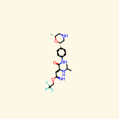 CC(C)N/C(=C\C(=N)OCC(F)(F)F)C(=O)Nc1ccc([C@H]2CNC[C@@H](C)O2)cc1